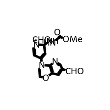 COC(=O)NNC1C=C(N2CCOc3cc(C=O)cnc32)C=CN1C=O